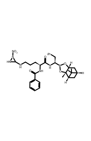 CC(C)C[C@H](NC(=O)[C@H](CCCNC1NN1[N+](=O)[O-])NC(=O)c1ccccc1)B1O[C@@H]2C[C@@H]3C[C@@H](C3(C)C)[C@]2(C)O1